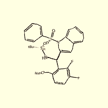 COc1ccc(F)c(F)c1C(N[S@@+]([O-])C(C)(C)C)c1cc2ccccc2n1S(=O)(=O)c1ccccc1